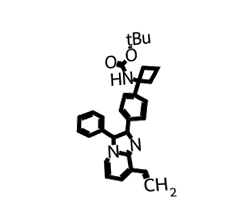 C=CC1=CC=CN2C1=NC(c1ccc(C3(NC(=O)OC(C)(C)C)CCC3)cc1)C2c1ccccc1